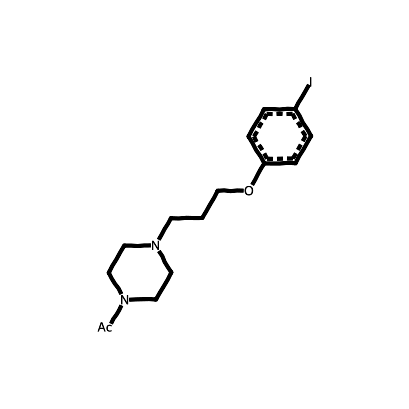 CC(=O)N1CCN(CCCOc2ccc(I)cc2)CC1